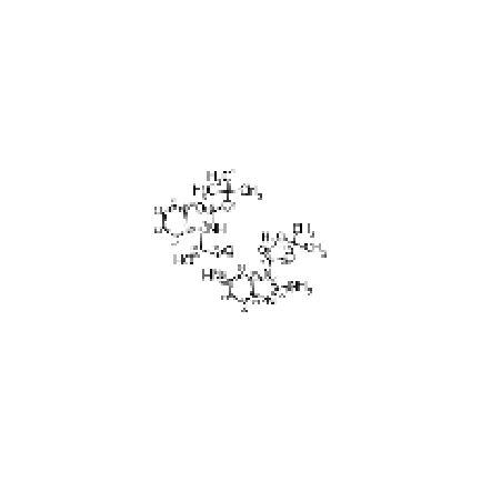 CC(C)(C)OC(=O)N[C@@H](c1ccccc1)[C@@H](O)C(=O)Nc1ccc2nc(N)n(C(=O)OC(C)(C)C)c2c1